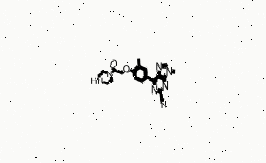 Cc1cc(-c2nc(C#N)nc3c2ncn3C)ccc1OCC(=O)N1CCNCC1